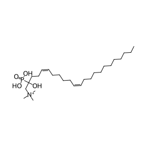 CCCCCCCCCCC/C=C\CCCC/C=C\CCC(O)(C[N+](C)(C)C)P(=O)(O)O